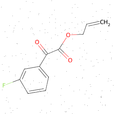 C=CCOC(=O)C(=O)c1cccc(F)c1